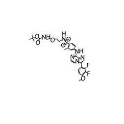 COc1ccc(-c2cnc3c(Nc4ccc(S(=O)(=O)NCCOCCNC(=O)OC(C)(C)C)c(C)c4)nccn23)c(F)c1F